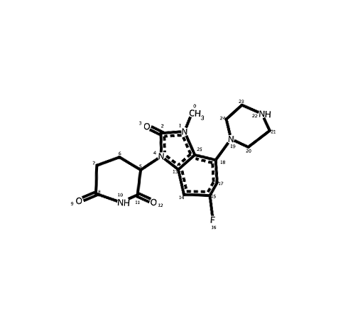 Cn1c(=O)n(C2CCC(=O)NC2=O)c2cc(F)cc(N3CCNCC3)c21